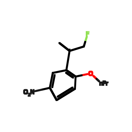 CCCOc1ccc([N+](=O)[O-])cc1[C](C)CF